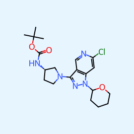 CC(C)(C)OC(=O)N[C@@H]1CCN(c2nn(C3CCCCO3)c3cc(Cl)ncc23)C1